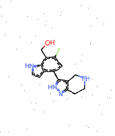 OCc1c(F)cc(-c2[nH]nc3c2CNCC3)c2cc[nH]c12